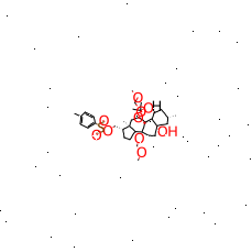 COCO[C@@H]1C[C@]2(C)[C@@H](COS(=O)(=O)c3ccc(C)cc3)CC[C@]2(OCOC)C2CC[C@]3(O)C[C@@H](C)C[C@H]4OC(C)(C)OC[C@]43C21